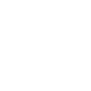 C=C[CH]SCC